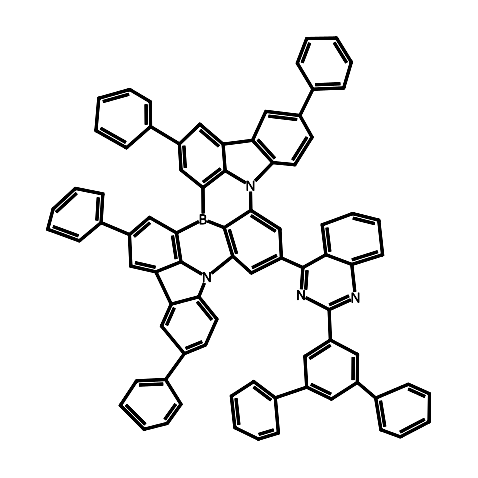 c1ccc(-c2cc(-c3ccccc3)cc(-c3nc(-c4cc5c6c(c4)-n4c7ccc(-c8ccccc8)cc7c7cc(-c8ccccc8)cc(c74)B6c4cc(-c6ccccc6)cc6c7cc(-c8ccccc8)ccc7n-5c46)c4ccccc4n3)c2)cc1